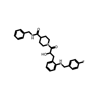 O=C(NCc1ccccc1)C1CCN(C(=O)C(O)Cc2ccccc2NCc2ccc(F)cc2)CC1